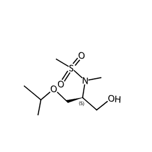 CC(C)OC[C@H](CO)N(C)S(C)(=O)=O